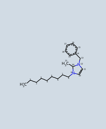 CCCCCCCCCN1C=CN(Cc2ccccc2)C1C